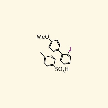 COc1ccc(-c2ccccc2I)cc1.Cc1ccc(S(=O)(=O)O)cc1